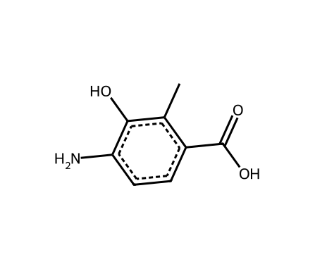 Cc1c(C(=O)O)ccc(N)c1O